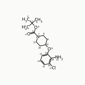 CC(C)(C)OC(=O)N1CCC(Oc2cccc(Cl)c2N)CC1